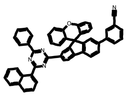 N#Cc1cccc(-c2ccc3c(c2)C2(c4ccccc4Oc4ccccc42)c2cc(-c4nc(-c5ccccc5)nc(-c5cccc6ccccc56)n4)ccc2-3)c1